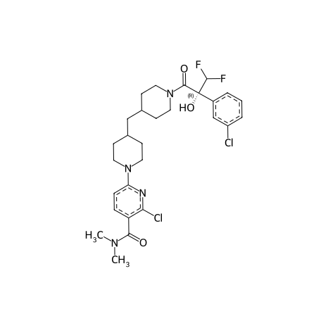 CN(C)C(=O)c1ccc(N2CCC(CC3CCN(C(=O)[C@](O)(c4cccc(Cl)c4)C(F)F)CC3)CC2)nc1Cl